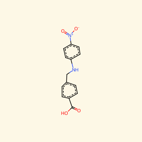 O=C(O)c1ccc(CNc2ccc([N+](=O)[O-])cc2)cc1